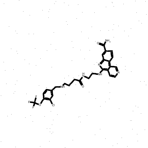 NC(=O)c1ccc2c(c1)nc(NCCNC(=O)CCCNCc1ccc(OC(F)(F)F)c(Cl)c1)c1ccncc12